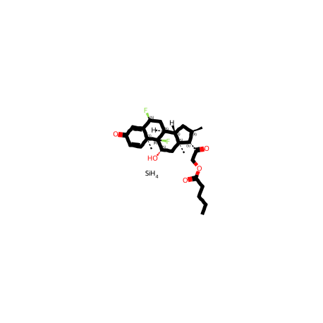 CCCCC(=O)OCC(=O)[C@H]1[C@H](C)C[C@H]2[C@@H]3C[C@H](F)C4=CC(=O)C=C[C@]4(C)[C@@]3(F)[C@@H](O)C[C@@]21C.[SiH4]